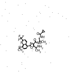 COc1ccc(-c2nc(C(=O)N[C@H](C)CNC(=O)C3CC3)c([C@H](C)N)o2)c2ccc(C(F)(F)F)nc12